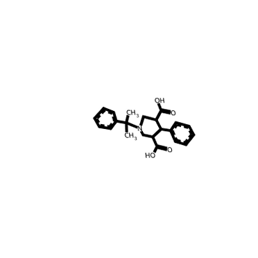 CC(C)(c1ccccc1)N1CC(C(=O)O)C(c2ccccc2)C(C(=O)O)C1